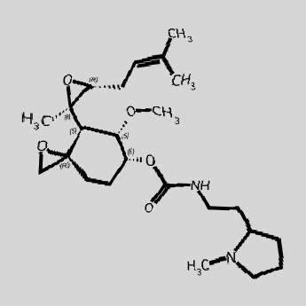 CO[C@@H]1[C@H](OC(=O)NCCC2CCCN2C)CC[C@]2(CO2)[C@H]1[C@@]1(C)O[C@@H]1CC=C(C)C